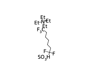 CC[N+](CC)(CC)CC.O=S(=O)(O)C(F)(F)CCCCCC(F)(F)F